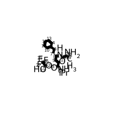 CC(C)NC(=O)C=C[C@H](CCc1ccccc1)NC(=O)[C@H](C)N.O=C(O)C(F)(F)F